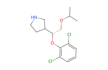 CC(C)OC[C@H](Oc1c(Cl)cccc1Cl)C1CCNC1